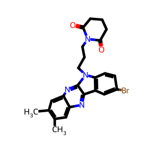 Cc1cc2nc3c4cc(Br)ccc4n(CCCN4C(=O)CCCC4=O)c3nc2cc1C